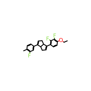 CCOc1ccc(C2=CCC3C(c4ccc(C)c(F)c4)=CCC23)c(F)c1F